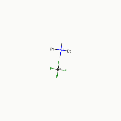 CC[N+](C)(C)C(C)C.F[B-](F)(F)F